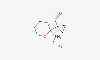 C[SiH2]C1(C2(C=O)CC2)CCCCO1.[Pt]